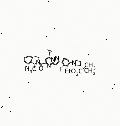 CCOC(=O)C(C)(C)[C@H]1CCN(c2ccc(-c3cc4nc(C(=O)N5CCc6ccccc6[C@H]5C)cc(C5CC5)n4n3)c(F)c2)C1